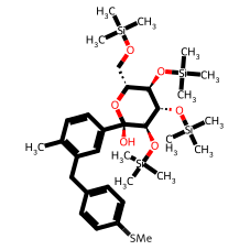 CSc1ccc(Cc2cc([C@]3(O)O[C@H](CO[Si](C)(C)C)[C@@H](O[Si](C)(C)C)[C@H](O[Si](C)(C)C)[C@H]3O[Si](C)(C)C)ccc2C)cc1